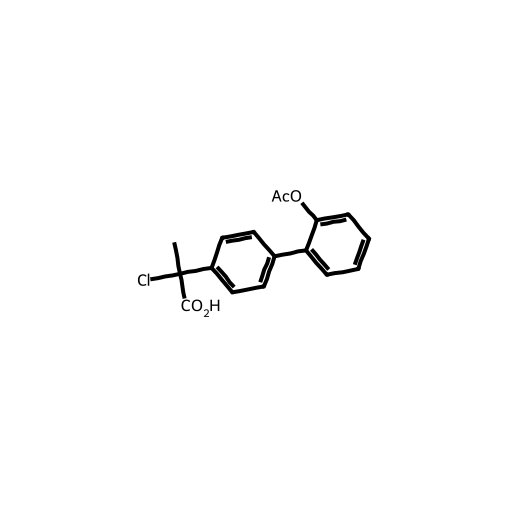 CC(=O)Oc1ccccc1-c1ccc(C(C)(Cl)C(=O)O)cc1